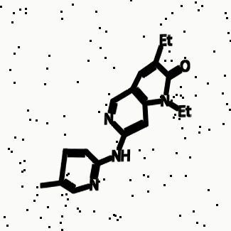 CCc1cc2cnc(Nc3ccc(C)cn3)cc2n(CC)c1=O